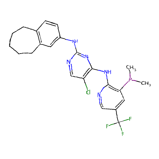 CP(C)c1cc(C(F)(F)F)cnc1Nc1nc(Nc2ccc3c(c2)CCCCC3)ncc1Cl